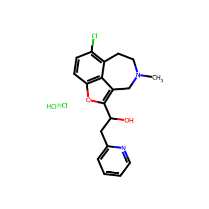 CN1CCc2c(Cl)ccc3oc(C(O)Cc4ccccn4)c(c23)C1.Cl.Cl